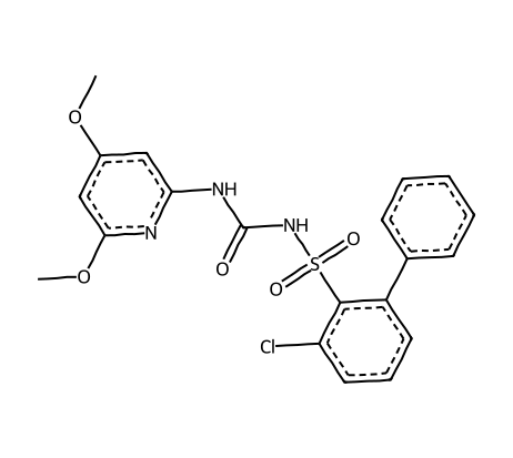 COc1cc(NC(=O)NS(=O)(=O)c2c(Cl)cccc2-c2ccccc2)nc(OC)c1